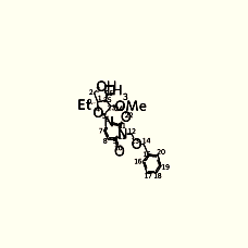 CC[C@@]1(CO)O[C@@H](n2ccc(=O)n(COCc3ccccc3)c2=O)[C@H](OC)[C@@H]1C